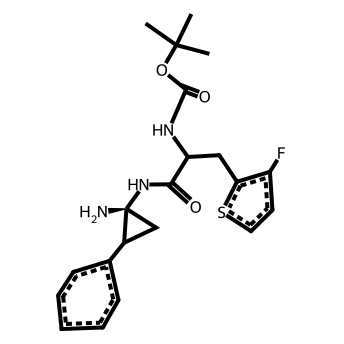 CC(C)(C)OC(=O)NC(Cc1sccc1F)C(=O)N[C@]1(N)CC1c1ccccc1